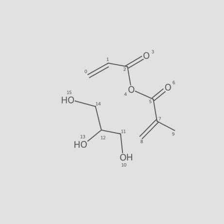 C=CC(=O)OC(=O)C(=C)C.OCC(O)CO